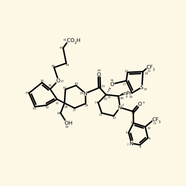 CCC[C@H]1N(C(=O)c2cnccc2C(F)(F)F)CCC[C@@]1(Oc1csc(C(F)(F)F)c1)C(=O)N1CCC(CO)(c2ccccc2OCCCC(=O)O)CC1